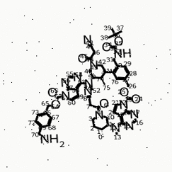 C[C@@H]1CCN(C(=O)CC#N)C[C@@H]1N(C)c1ncnc2c1ccn2C(=O)OCc1ccc(CNC(=O)OC(C)(C)C)c(C2CN(C(=O)CC#N)C[C@H](N(C)c3ncnc4c3ccn4C(=O)OCc3ccc(CN)cc3)[C@@H]2C)c1